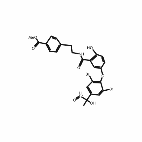 COC(=O)c1ccc(CCNC(=O)c2cc(Oc3c(Br)cc(C(C)(O)[PH2]=O)cc3Br)ccc2O)cc1